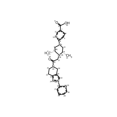 C[C@@H]1CN(c2ccc(C(=O)O)cn2)C[C@H](C)N1CC(=O)N1CCc2nn(-c3ccccn3)cc2C1